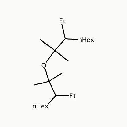 CCCCCCC(CC)C(C)(C)OC(C)(C)C(CC)CCCCCC